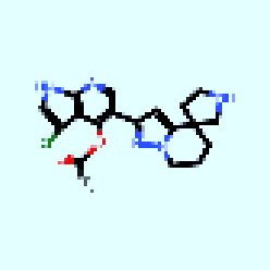 O=C(Oc1c(-c2cc3n(n2)CCCC32CCNC2)cnc2[nH]cc(Cl)c12)C(F)(F)F